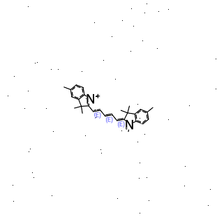 Cc1ccc2c(c1)C(C)(C)C(/C=C/C=C/C=C1/N(C)c3ccc(C)cc3C1(C)C)=[N+]2C